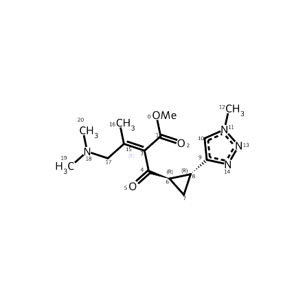 COC(=O)/C(C(=O)[C@@H]1C[C@H]1c1cn(C)nn1)=C(\C)CN(C)C